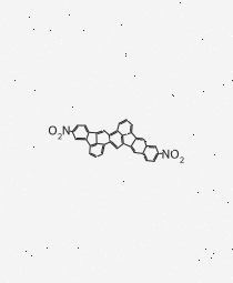 O=[N+]([O-])c1ccc2cc3c(cc2c1)c1cccc2c4cc5c6ccc([N+](=O)[O-])cc6c6cccc(c4cc3c12)c65